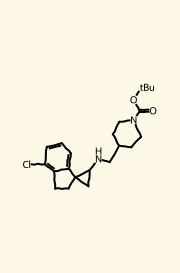 CC(C)(C)OC(=O)N1CCC(CNC2CC23CCc2c(Cl)cccc23)CC1